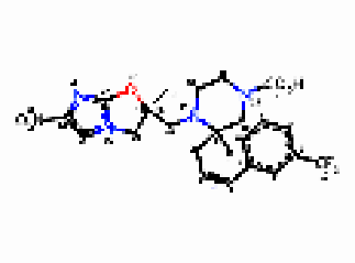 CC1(C/C=C\c2cccc(C(F)(F)F)c2)CN(C(=O)O)CCN1C[C@@]1(C)Cn2cc([N+](=O)[O-])nc2O1